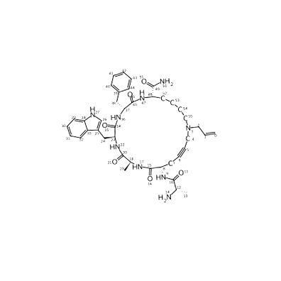 C=CCN1CC#CC[C@H](NC(=O)[C@H](C)N)C(=O)N[C@@H](C)C(=O)N[C@@H](Cc2c[nH]c3ccccc23)C(=O)N[C@H](Cc2ccccc2)C(=O)N[C@H](C(N)=O)CCCC1